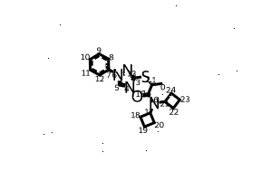 CC(Sc1ncn(-c2ccccc2)n1)C(=O)N(C1CCC1)C1CCC1